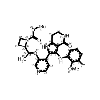 COc1c(F)cccc1Nc1c(-c2ccncc2O[C@@H](C)[C@H]2CCN2C(=O)OC(C)(C)C)[nH]c2c1C(=O)NCC2